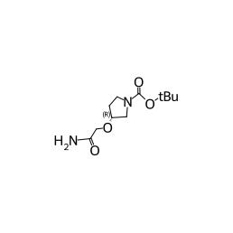 CC(C)(C)OC(=O)N1CC[C@@H](OCC(N)=O)C1